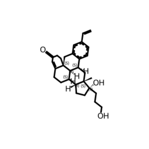 C=Cc1ccc2c(c1)C[C@]13CCC(=O)C=C1CC[C@@H]1[C@@H]3[C@@H]2C[C@@]2(C)[C@@H]1CC[C@]2(O)CCCO